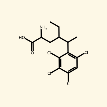 CCC(CC(N)C(=O)O)C(C)c1c(Cl)cc(Cl)c(Cl)c1Cl